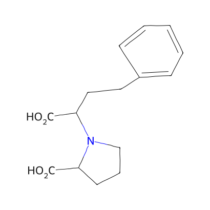 O=C(O)C1CCCN1C(CCc1ccccc1)C(=O)O